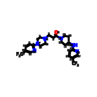 O=C(CCN1CCN(c2ccc(C(F)(F)F)cn2)CC1)N1CCC(Nc2ccc(C(F)(F)F)cn2)CC1